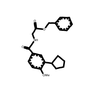 COc1ccc(C(=O)NCC(=O)OCc2ccccc2)cc1C1CCCC1